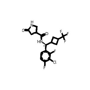 O=C1CC(C(=O)N[C@H](c2ccc(F)c(Cl)c2F)C2CC(C(F)(F)F)C2)CN1